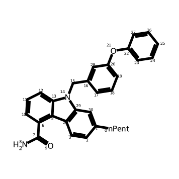 CCCCCc1c[c]c2c3c(C(N)=O)cccc3n(Cc3cccc(Oc4ccccc4)c3)c2c1